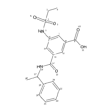 CCS(=O)(=O)Nc1cc(C(=O)O)cc(C(=O)NC(C)c2ccccc2)c1